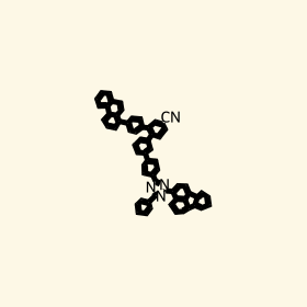 N#Cc1ccc(-c2cccc(-c3ccc(-c4nc(-c5ccccc5)nc(-c5ccc6c7c(cccc57)-c5ccccc5-6)n4)cc3)c2)c(-c2ccc(-c3cccc4c3ccc3ccccc34)cc2)c1